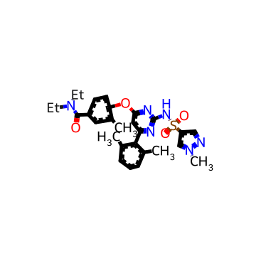 CCN(CC)C(=O)c1ccc(Oc2cc(-c3c(C)cccc3C)nc(NS(=O)(=O)c3cnn(C)c3)n2)c(C)c1